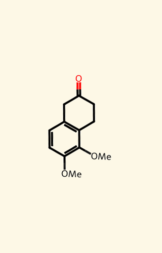 COc1ccc2c(c1OC)CCC(=O)C2